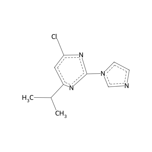 CC(C)c1cc(Cl)nc(-n2ccnc2)n1